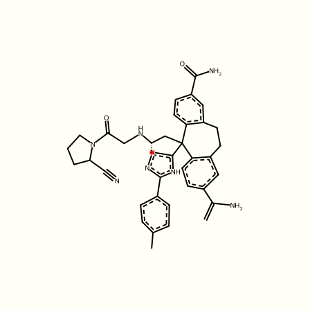 C=C(N)c1ccc2c(c1)CCc1cc(C(N)=O)ccc1C2(C[C@H](C)NCC(=O)N1CCCC1C#N)c1nnc(-c2ccc(C)cc2)[nH]1